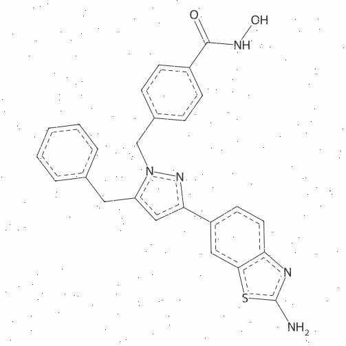 Nc1nc2ccc(-c3cc(Cc4ccccc4)n(Cc4ccc(C(=O)NO)cc4)n3)cc2s1